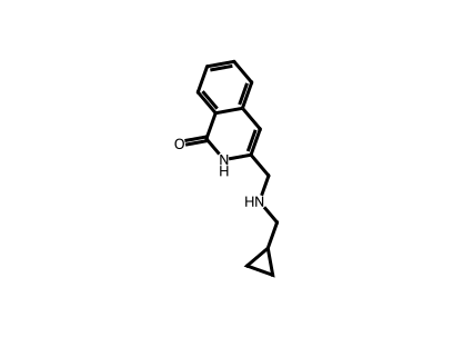 O=c1[nH]c(CNCC2CC2)cc2ccccc12